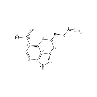 C=CCNC1Cc2c[nH]c3ccc(C(=S)S)c(c23)C1